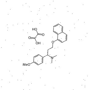 COc1ccc(C(CCOc2cccc3ccccc23)N(C)C)cc1.O=C(O)C(=O)O